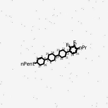 CCCCCC1C=CC(C2CCC(C3CCC(c4ccc(CCC)c(F)c4F)CC3)CC2)CC1